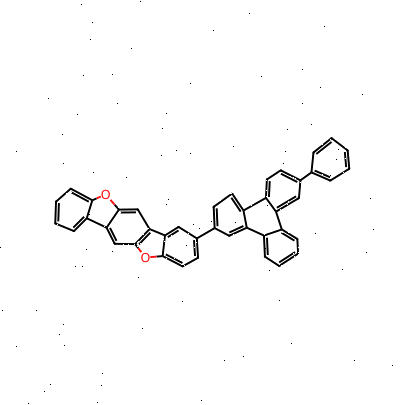 c1ccc(-c2ccc3c4ccc(-c5ccc6oc7cc8c(cc7c6c5)oc5ccccc58)cc4c4ccccc4c3c2)cc1